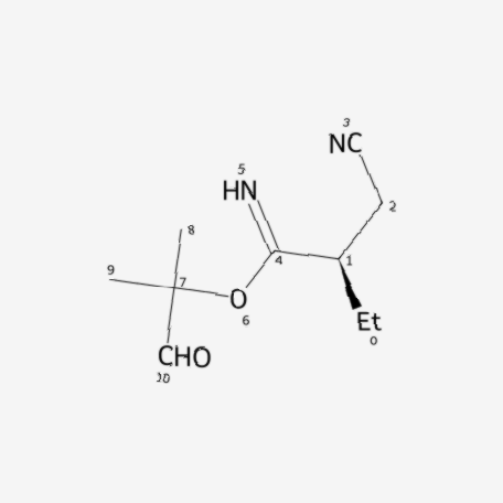 CC[C@H](CC#N)C(=N)OC(C)(C)C=O